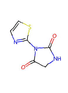 O=C1CNC(=O)N1c1nccs1